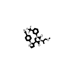 COCC(C)n1c(=O)c(-c2ccnn2-c2ccc(C#N)cc2)cn(-c2cccc(C(F)(F)F)c2)c1=O